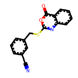 N#Cc1cccc(CSc2nc3ccccc3c(=O)o2)c1